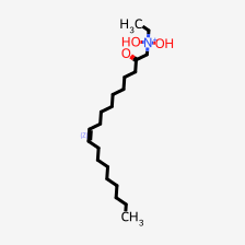 CCCCCCCC/C=C\CCCCCCCC(=O)C[N+](O)(O)CC